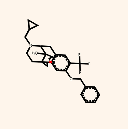 OC12CCNCCC13CCN(CC1CC1)C2Cc1cc(C(F)(F)F)c(OCc2ccccc2)cc13